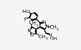 Cc1noc(C)c1-c1c(-c2ccc(O)c(F)c2)nn(C)c1/C=N/O